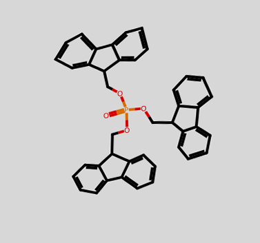 O=P(OCC1c2ccccc2-c2ccccc21)(OCC1c2ccccc2-c2ccccc21)OCC1c2ccccc2-c2ccccc21